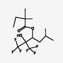 CCC(C)(I)C(=O)OC(CC(C)C)C(O)(C(F)(F)F)C(F)(F)F